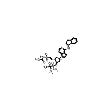 CC(C)(C)[Si](C)(C)O[C@@H]1C[C@H](n2ccc3c(N[C@H]4CCc5ccccc54)ncnc32)C[C@H]1C=CS(=O)(=O)NC(=O)O